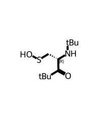 CC(C)(C)N[C@@H](CSO)C(=O)C(C)(C)C